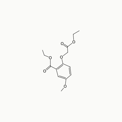 CCOC(=O)COc1ccc(OC)cc1C(=O)OCC